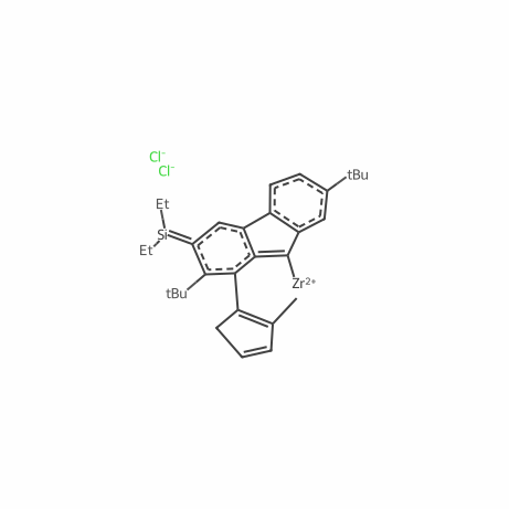 CC[Si](CC)=c1cc2c(c(C3=C(C)C=CC3)c1C(C)(C)C)=[C]([Zr+2])c1cc(C(C)(C)C)ccc1-2.[Cl-].[Cl-]